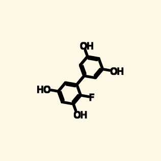 Oc1cc(O)cc(-c2cc(O)cc(O)c2F)c1